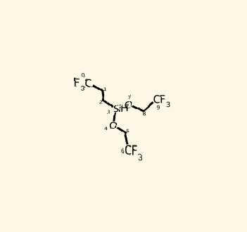 FC(F)(F)CC[SiH](OCC(F)(F)F)OCC(F)(F)F